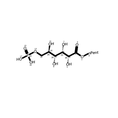 CCCCCOC(=O)[C@H](O)[C@@H](O)[C@H](O)[C@H](O)COP(=O)(O)O